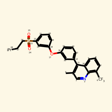 Cc1cnc2c(C(F)(F)F)cccc2c1-c1cccc(Oc2cccc(S(=O)(=O)CCC(C)C)c2)c1